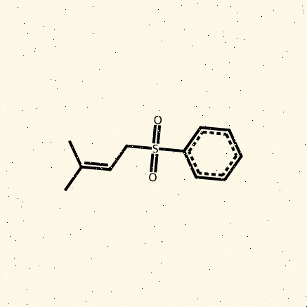 CC(C)=CCS(=O)(=O)c1ccccc1